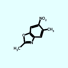 Cc1nc2cc(C)c([N+](=O)[O-])cc2o1